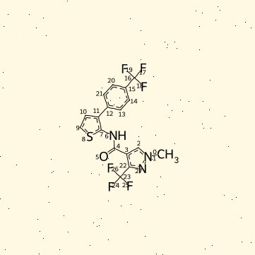 Cn1cc(C(=O)Nc2sccc2-c2ccc(C(F)(F)F)cc2)c(C(F)(F)F)n1